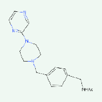 CC(=O)NCc1ccc(CN2CCN(c3cnccn3)CC2)cc1